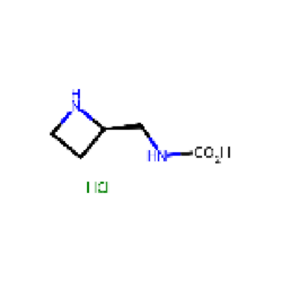 Cl.O=C(O)NC[C@H]1CCN1